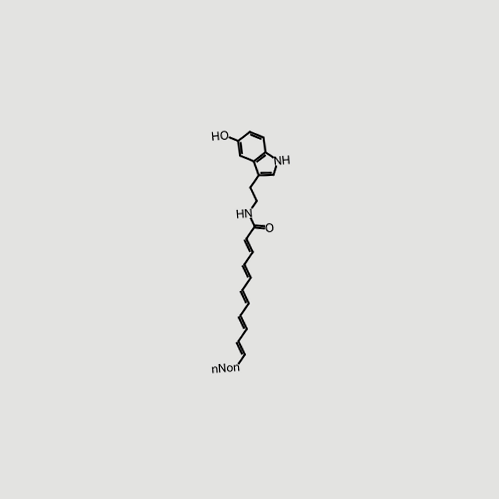 CCCCCCCCCC=CC=CC=CC=CC=CC(=O)NCCc1c[nH]c2ccc(O)cc12